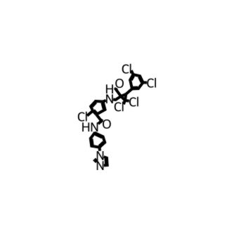 O=CC1(CNc2ccc(Cl)c(C(=O)Nc3ccc(-n4ccnc4)cc3)c2)C(c2cc(Cl)cc(Cl)c2)C1(Cl)Cl